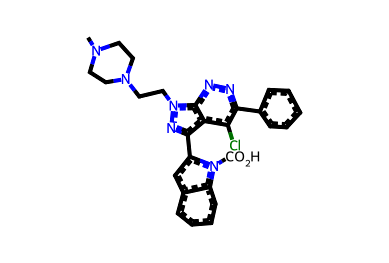 CN1CCN(CCn2nc(-c3cc4ccccc4n3C(=O)O)c3c(Cl)c(-c4ccccc4)nnc32)CC1